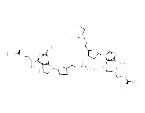 CN(/C=N\c1c(C=O)ncn1C1C[C@H](OP(O)OCC2CCC(N3CNc4c(NCOC(=O)C(C)(C)C)nc(Cl)nc43)O2)C(COP(O)CO)O1)COC(=O)C(C)(C)C